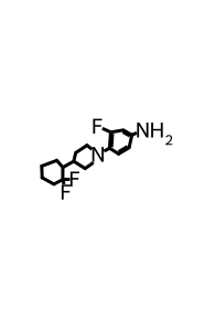 Nc1ccc(N2CCC(C3CCCCC3(F)F)CC2)c(F)c1